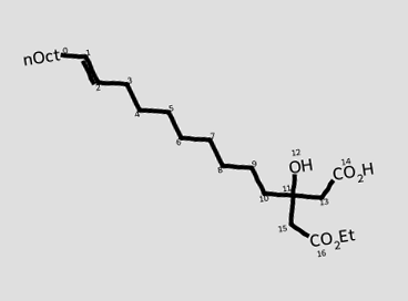 CCCCCCCC/C=C/CCCCCCCCC(O)(CC(=O)O)CC(=O)OCC